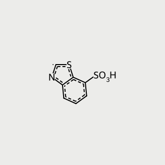 O=S(=O)(O)c1cccc2n[c]sc12